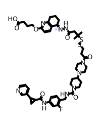 CC(C)(CC(=O)N/N=C1\CCCc2nc(OCCCC(=O)O)ccc21)SSCCC(=O)N1CCN(C2CCN(C(=O)NCc3ccc(NC(=O)C4CC4c4cccnc4)cc3F)CC2)CC1